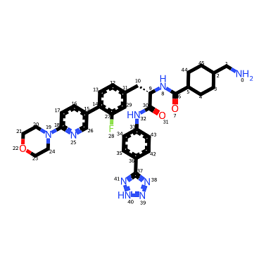 NCC1CCC(C(=O)N[C@@H](Cc2ccc(-c3ccc(N4CCOCC4)nc3)c(F)c2)C(=O)Nc2ccc(-c3nn[nH]n3)cc2)CC1